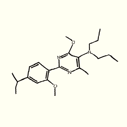 CCCN(CCC)c1c(C)nc(-c2ccc(C(C)C)cc2OC)nc1OC